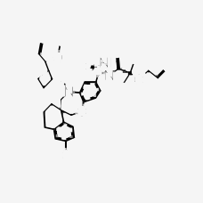 C=CCOC(C)(C)C(=C)N=S(N)(=O)c1ccc2c(c1)N(C[C@@H]1CC[C@H]1[C@H](C=C)OC)C[C@@]1(CCCc3cc(Cl)ccc31)CO2